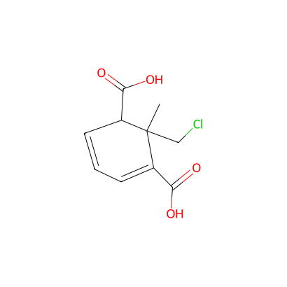 CC1(CCl)C(C(=O)O)=CC=CC1C(=O)O